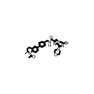 CC(=O)N1c2ccc(-c3ccc(CNC(=O)c4cn5cc(Br)nc(N6CCOCC6)c5n4)cc3)cc2CC[C@@H]1C